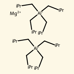 CC(C)[CH2][Al-]([CH2]C(C)C)([CH2]C(C)C)[CH2]C(C)C.CC(C)[CH2][Al-]([CH2]C(C)C)([CH2]C(C)C)[CH2]C(C)C.[Mg+2]